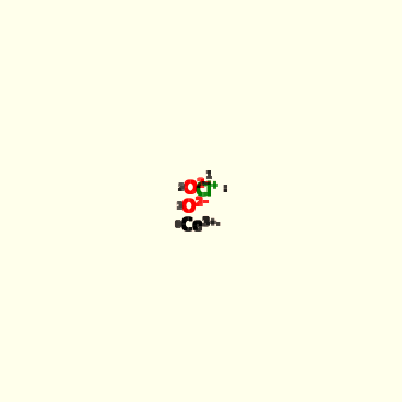 [Ce+3].[Cl+].[O-2].[O-2]